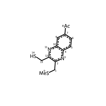 CSCc1nc2ccc(C(C)=O)cc2nc1CS